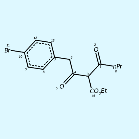 CCCC(=O)C(C(=O)Cc1ccc(Br)cc1)C(=O)OCC